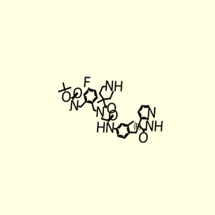 CN(Cc1cc(F)ccc1CN(CC(=O)Nc1ccc2c(c1)C[C@@]1(C2)C(=O)Nc2ncccc21)C(=O)C1(C)CCNCC1)C(=O)OC(C)(C)C